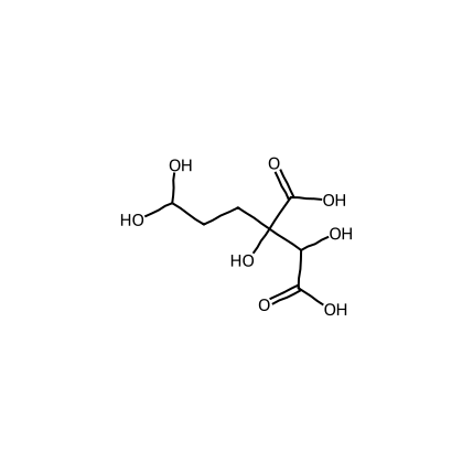 O=C(O)C(O)C(O)(CCC(O)O)C(=O)O